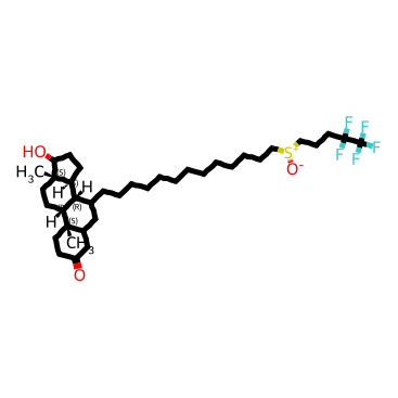 C[C@]12CCC(=O)CC1CC(CCCCCCCCCCCCC[S+]([O-])CCCC(F)(F)C(F)(F)F)[C@@H]1[C@H]2CC[C@]2(C)C(O)CC[C@@H]12